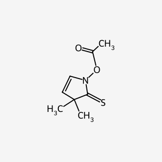 CC(=O)ON1C=CC(C)(C)C1=S